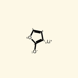 [Li+].[O-]c1ccco1